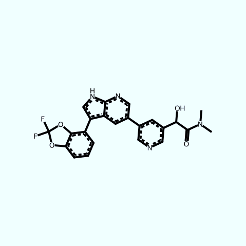 CN(C)C(=O)C(O)c1cncc(-c2cnc3[nH]cc(-c4cccc5c4OC(F)(F)O5)c3c2)c1